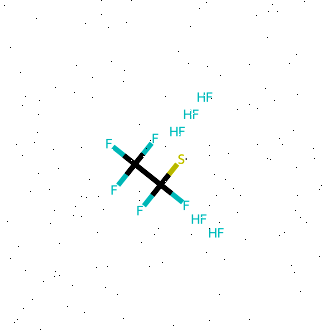 F.F.F.F.F.FC(F)(F)C(F)(F)[S]